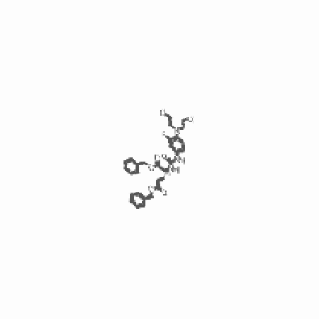 O=C(Nc1ccc(N(CCCl)CCCl)c(F)c1)N[C@H](CCC(=O)OCc1ccccc1)C(=O)OCc1ccccc1